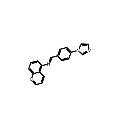 C(=N\c1cccc2ncccc12)/c1ccc(-n2ccnc2)cc1